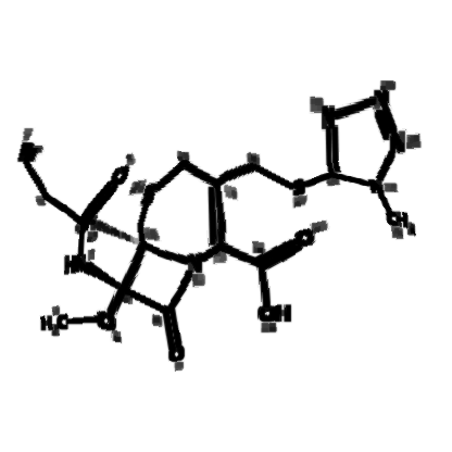 CO[C@@]1(NC(=O)CBr)C(=O)N2C(C(=O)O)=C(CSc3nnnn3C)CS[C@@H]21